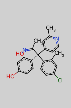 C/C(=N/O)[C@@](c1ccc(O)cc1)(c1ccnc(C)c1)c1ccc(Cl)cc1C